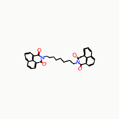 O=C1c2cccc3cccc(c23)C(=O)N1CCCCCCCCN1C(=O)c2cccc3cccc(c23)C1=O